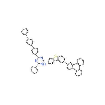 c1ccc(-c2ccc(-c3ccc(C4=NC(c5ccccc5)NC(c5ccc6c(c5)sc5ccc(-c7ccc8c9ccccc9c9ccccc9c8c7)cc56)=N4)cc3)cc2)cc1